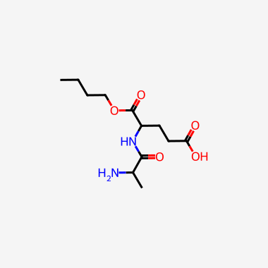 CCCCOC(=O)C(CCC(=O)O)NC(=O)C(C)N